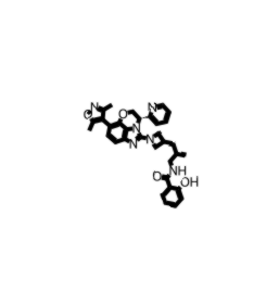 Cc1noc(C)c1-c1ccc2nc(N3CC(CC(C)CNC(=O)c4ccccc4O)C3)n3c2c1OC[C@@H]3c1ccccn1